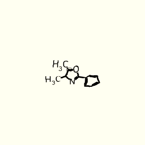 CC1N=C(c2ccccc2)O[C@H]1C